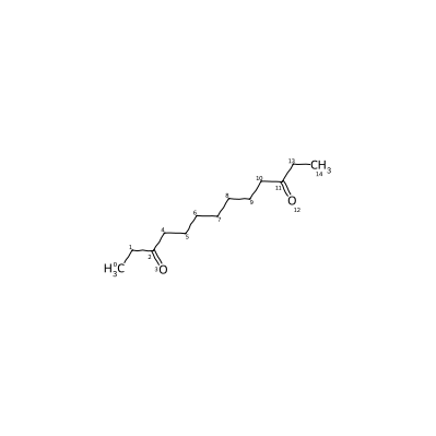 CCC(=O)CCCCCCCC(=O)CC